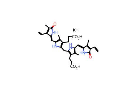 C=CC1=C(C)/C(=C/c2[nH]c(Cc3[nH]c(/C=C4\NC(=O)C(C)=C4C=C)c(C)c3CCC(=O)O)c(CCC(=O)O)c2C)NC1=O.[KH]